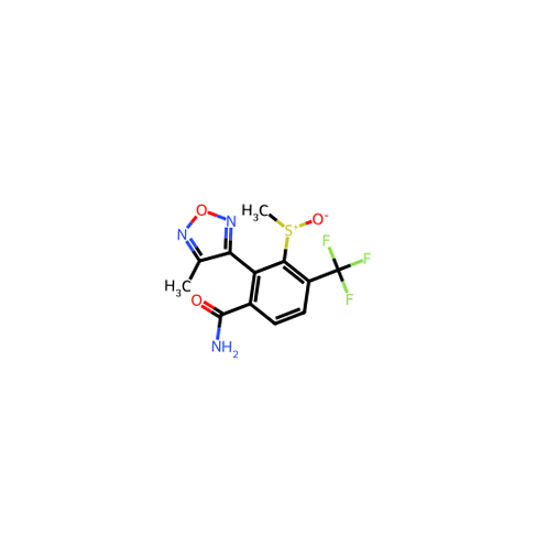 Cc1nonc1-c1c(C(N)=O)ccc(C(F)(F)F)c1[S+](C)[O-]